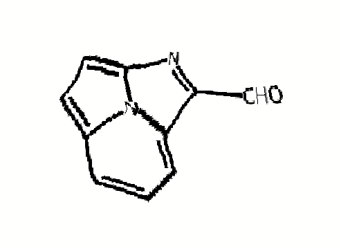 O=Cc1nc2ccc3cccc1n32